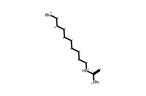 C=C(NCCCCCCCCCC(C)(C)C)C(C)(C)C